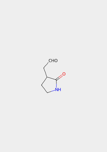 O=CCC1CCNC1=O